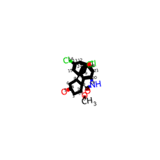 CO[C@H]1CC(=O)C[C@@H](c2cc(Cl)cc(Cl)c2)[C@]12C(=O)Nc1cc(Cl)ccc12